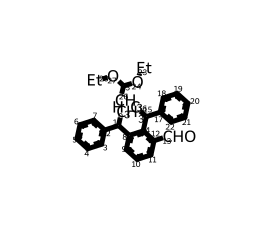 CC(c1ccccc1)c1cccc(C=O)c1C(C)c1ccccc1.CCOC(C)OCC